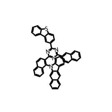 c1ccc2cc(-c3nc(-c4ccc5sc6ccccc6c5c4)nc(-c4ccc5ccccc5c4-n4c5ccccc5c5cc6ccccc6cc54)n3)ccc2c1